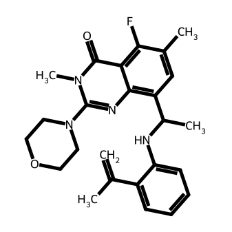 C=C(C)c1ccccc1NC(C)c1cc(C)c(F)c2c(=O)n(C)c(N3CCOCC3)nc12